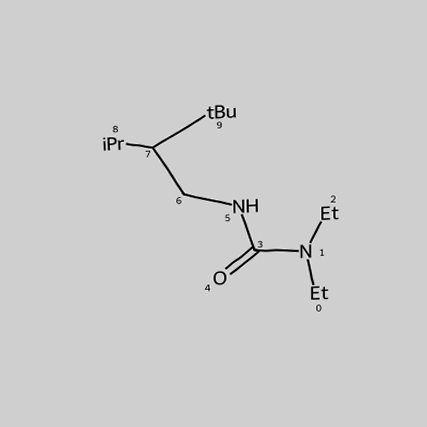 CCN(CC)C(=O)NCC(C(C)C)C(C)(C)C